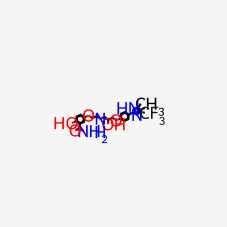 Cc1[nH]c(-c2ccc(OCC(O)CNCCOc3ccc(O)c(C(N)=O)c3)cc2)nc1C(F)(F)F